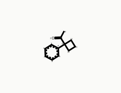 CC(=O)C1(c2ccccc2)CCC1